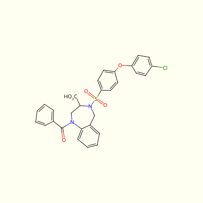 O=C(O)C1CN(C(=O)c2ccccc2)c2ccccc2CN1S(=O)(=O)c1ccc(Oc2ccc(Cl)cc2)cc1